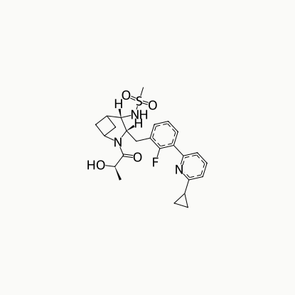 C[C@@H](O)C(=O)N1C2CC(C2)[C@H](NS(C)(=O)=O)[C@@H]1Cc1cccc(-c2cccc(C3CC3)n2)c1F